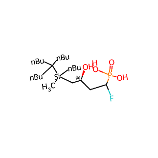 CCCCC(CCCC)(CCCC)[Si](C)(CCCC)C[C@@H](O)CC(F)P(=O)(O)O